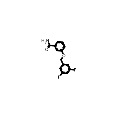 NC(=O)c1cccc(OCc2cc(F)cc(F)c2)c1